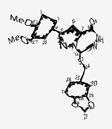 COc1ccc(-c2cc3c(=O)[nH]nc(SCc4ccc5c(c4)OCO5)n3n2)cc1OC